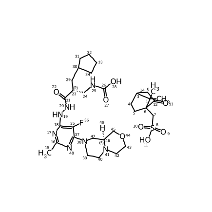 CC1(C)C2CCC1(CS(=O)(=O)O)C(=O)C2.Cc1nc(NNC(=O)[C@@H](CNC(=O)O)CC2CCCC2)c(F)c(N2CCN3CCOC[C@@H]3C2)n1